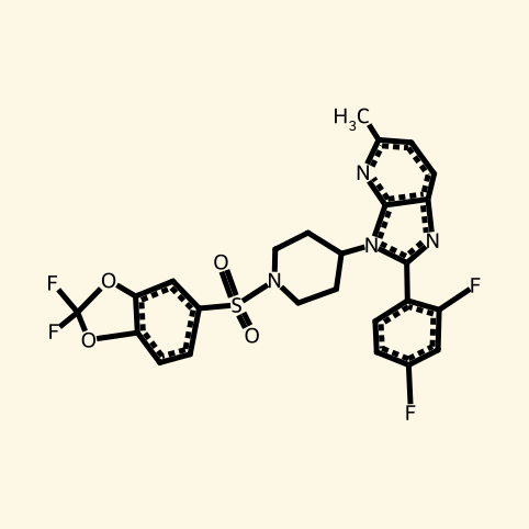 Cc1ccc2nc(-c3ccc(F)cc3F)n(C3CCN(S(=O)(=O)c4ccc5c(c4)OC(F)(F)O5)CC3)c2n1